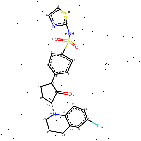 O=C1C(c2ccc(S(=O)(=O)Nc3nccs3)cc2)CC[C@H]1N1CCCc2cc(F)ccc21